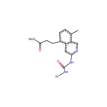 CCNC(=O)Nc1cc2c(CCC(=O)OC)ccc(C)c2cn1